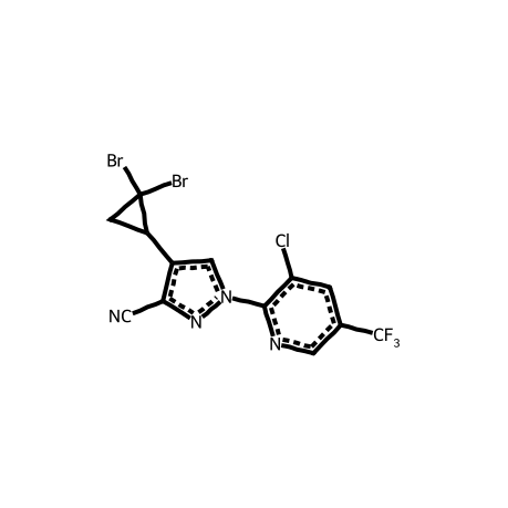 N#Cc1nn(-c2ncc(C(F)(F)F)cc2Cl)cc1C1CC1(Br)Br